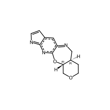 C1=Cc2cc3c(nc2=N1)O[C@H]1COCC[C@@H]1CN=3